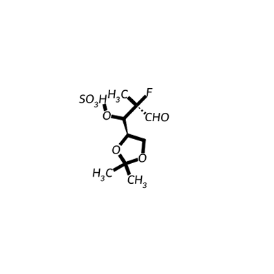 CC1(C)OC[C@H](C(OS(=O)(=O)O)[C@@](C)(F)C=O)O1